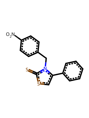 O=[N+]([O-])c1ccc(Cn2c(-c3ccccc3)csc2=S)cc1